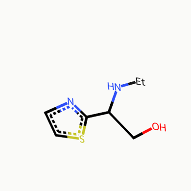 CCNC(CO)c1nccs1